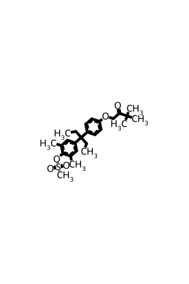 CCC(CC)(c1ccc(OCC(=O)C(C)(C)C)cc1)c1cc(C)c(OS(C)(=O)=O)c(C)c1